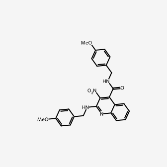 COc1ccc(CNC(=O)c2c([N+](=O)[O-])c(NCc3ccc(OC)cc3)nc3ccccc23)cc1